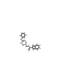 O=C(C=CC1CCN(Cc2ccccc2)CC1)c1cc2ccccc2o1